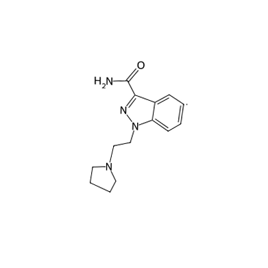 NC(=O)c1nn(CCN2CCCC2)c2cc[c]cc12